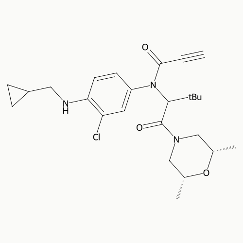 C#CC(=O)N(c1ccc(NCC2CC2)c(Cl)c1)C(C(=O)N1C[C@@H](C)O[C@@H](C)C1)C(C)(C)C